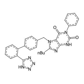 CCCCc1nc2[nH]c(=O)n(-c3ccccc3)c(=O)c2n1Cc1ccc(-c2ccccc2-c2nnn[nH]2)cc1